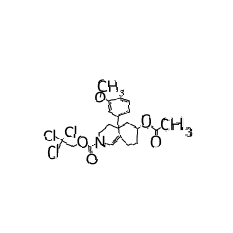 COc1cccc(C23CCN(C(=O)OCC(Cl)(Cl)Cl)C=C2CCC(OC(C)=O)C3)c1